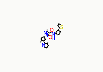 CC1=NN(c2ccc(C)c(-c3ncccc3C)c2)C(=O)C1C(=O)Nc1cccc(-c2cccs2)c1